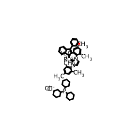 C1CCC(P(C2CCCCC2)C2CCCCC2)CC1.Cc1cc(C)c(-n2ccn(-c3c(C)cc(C)cc3C)[c]2=[Ru+2]=[C]2C=C(c3ccccc3)c3ccccc32)c(C)c1.[Cl-].[Cl-]